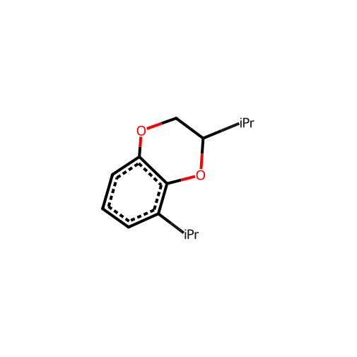 CC(C)c1cccc2c1OC(C(C)C)CO2